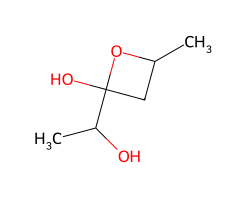 CC1CC(O)(C(C)O)O1